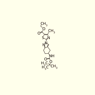 CCOC(=O)c1sc(-n2cc3c(n2)CCC(NC(=O)OC(C)(C)C)C3)nc1C